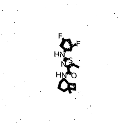 Cc1sc(Nc2cc(F)cc(F)c2)nc1C(=O)NC1CCCC2(C)CCC12